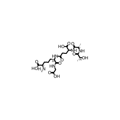 C[C@H](NC(=O)[C@@H](C)O)C(=O)NC(CCC(=O)N[C@H](CCC[C@@H](N)C(=O)O)C(=O)NCC(=O)O)C(=O)O